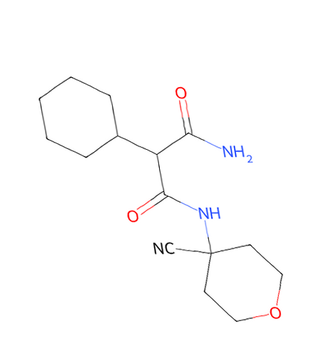 N#CC1(NC(=O)C(C(N)=O)C2CCCCC2)CCOCC1